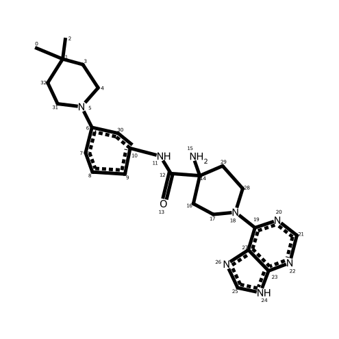 CC1(C)CCN(c2cccc(NC(=O)C3(N)CCN(c4ncnc5[nH]cnc45)CC3)c2)CC1